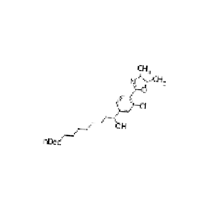 CCCCCCCCCCCCCCCCCC(O)c1ccc(C2=NC(C)C(C)O2)c(Cl)c1